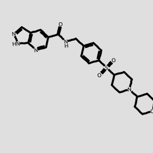 O=C(NCc1ccc(S(=O)(=O)C2CCN(C3CCOCC3)CC2)cc1)c1cnc2[nH]ncc2c1